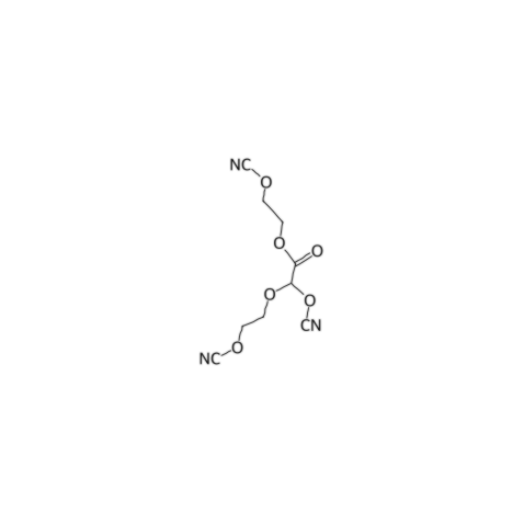 N#COCCOC(=O)C(OC#N)OCCOC#N